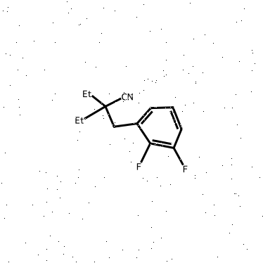 CCC(C#N)(CC)Cc1cccc(F)c1F